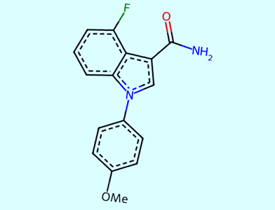 COc1ccc(-n2cc(C(N)=O)c3c(F)cccc32)cc1